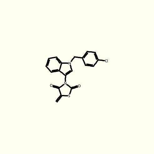 C=C1SC(=O)N(c2cn(Cc3ccc(Cl)cc3)c3ccccc23)C1=O